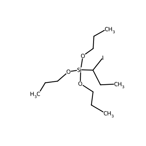 CCCO[Si](OCCC)(OCCC)C(I)CC